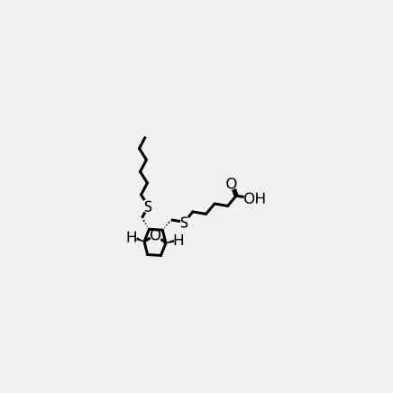 CCCCCCSC[C@@H]1[C@H](CSCCCCC(=O)O)[C@@H]2CC[C@H]1O2